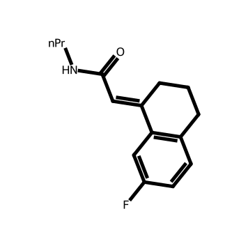 CCCNC(=O)/C=C1\CCCc2ccc(F)cc21